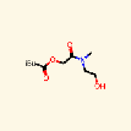 CCC(C)C(=O)OCC(=O)N(C)CCO